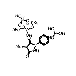 CCCCC1C(=O)NN(c2ccccc2)C1=O.CCCCOP(O)OCCCC.O=[PH](O)O.OP(O)O